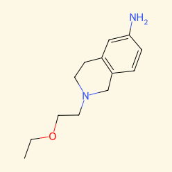 CCOCCN1CCc2cc(N)ccc2C1